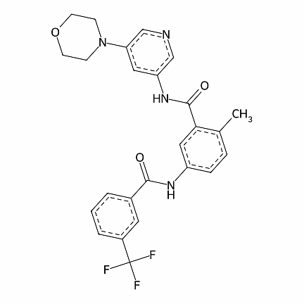 Cc1ccc(NC(=O)c2cccc(C(F)(F)F)c2)cc1C(=O)Nc1cncc(N2CCOCC2)c1